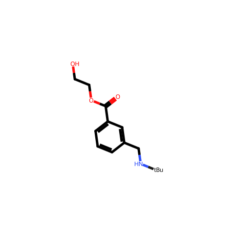 CC(C)(C)NCc1cccc(C(=O)OCCO)c1